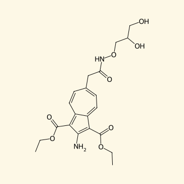 CCOC(=O)c1c2ccc(CC(=O)NOCC(O)CO)ccc-2c(C(=O)OCC)c1N